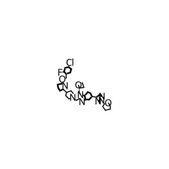 Fc1cc(Cl)ccc1COc1cccc(C2CCN(Cc3nc4cc(-c5cnn(C6CCCCO6)n5)ccc4n3C[C@@H]3CCO3)CC2)n1